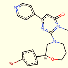 Cn1c(N2CCCO[C@@H](c3ccc(Br)cc3)C2)nc(-c2ccncc2)cc1=O